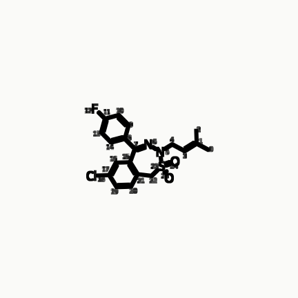 CC(C)=CCN1N=C(c2ccc(F)cc2)c2cc(Cl)ccc2CS1(=O)=O